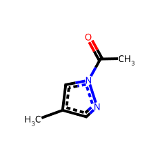 CC(=O)n1cc(C)cn1